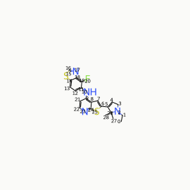 CCN1CC=C(c2cc3c(Nc4ccc5scnc5c4F)ccnc3s2)C1(C)C